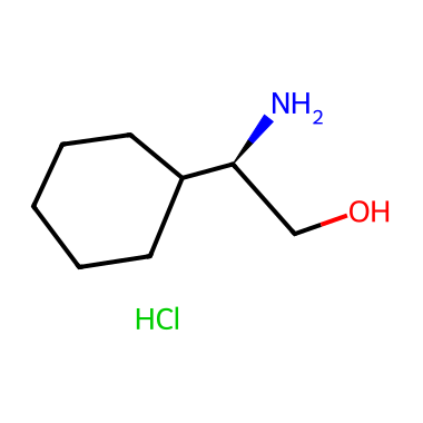 Cl.N[C@@H](CO)C1CCCCC1